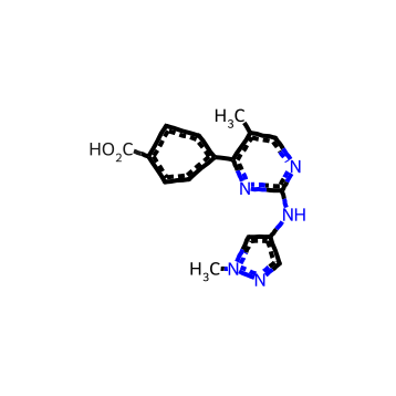 Cc1cnc(Nc2cnn(C)c2)nc1-c1ccc(C(=O)O)cc1